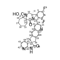 C[C@@]1(c2cc(F)cc(F)c2)CN(C(=O)O)C2(CCCCCC2)C(=O)N1Cc1cnc2cc3c(cc2c1)C[C@@]1(C3)C(=O)Nc2ncccc21